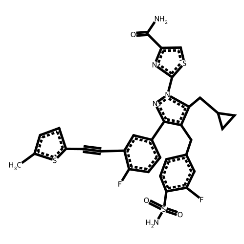 Cc1ccc(C#Cc2cc(-c3nn(-c4nc(C(N)=O)cs4)c(CC4CC4)c3Cc3ccc(S(N)(=O)=O)c(F)c3)ccc2F)s1